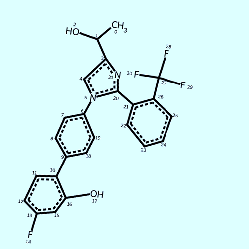 CC(O)c1cn(-c2ccc(-c3ccc(F)cc3O)cc2)c(-c2ccccc2C(F)(F)F)n1